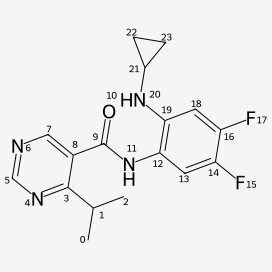 CC(C)c1ncncc1C(=O)Nc1cc(F)c(F)cc1NC1CC1